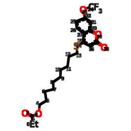 CCC(=O)OCCCCCCCCCCSc1cc(=O)oc2cc(OC(F)(F)F)ccc12